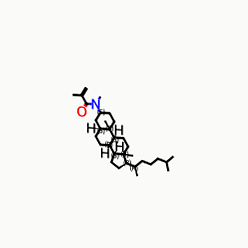 C=C(C)C(=O)N(C)[C@H]1CC[C@@]2(C)[C@@H](CC[C@@H]3[C@@H]2CC[C@]2(C)[C@@H]([C@H](C)CCCC(C)C)CC[C@@H]32)C1